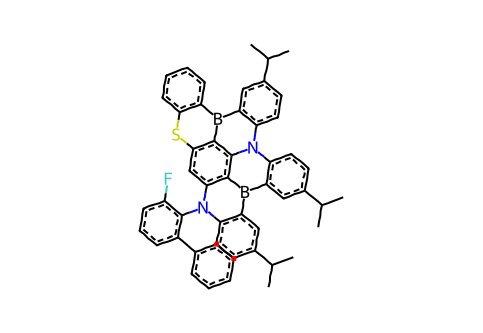 CC(C)c1ccc2c(c1)B1c3cc(C(C)C)ccc3N3c4ccc(C(C)C)cc4B4c5ccccc5Sc5cc(c1c3c54)N2c1c(F)cccc1-c1ccccc1